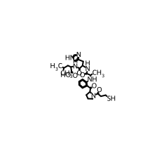 CC(C)CC(NC(=O)C(Cc1c[nH]cn1)NC(=O)C(C)Nc1ccccc1C(=O)C1CCCN1C(=O)CCS)C(=O)O